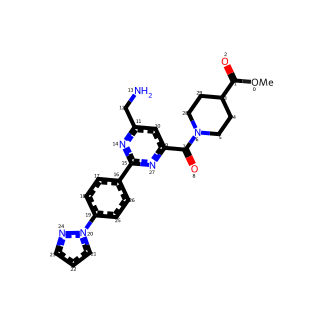 COC(=O)C1CCN(C(=O)c2cc(CN)nc(-c3ccc(-n4cccn4)cc3)n2)CC1